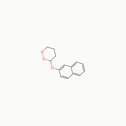 [c]1c(OC2CCCOO2)ccc2ccccc12